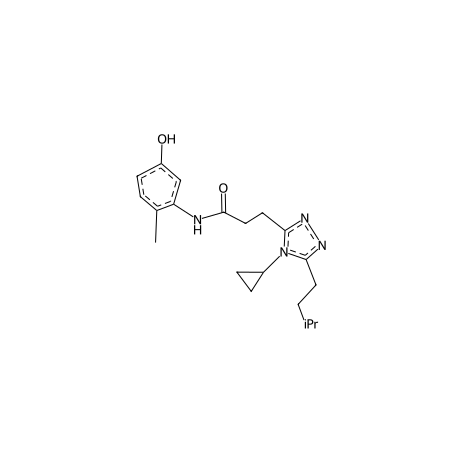 Cc1ccc(O)cc1NC(=O)CCc1nnc(CCC(C)C)n1C1CC1